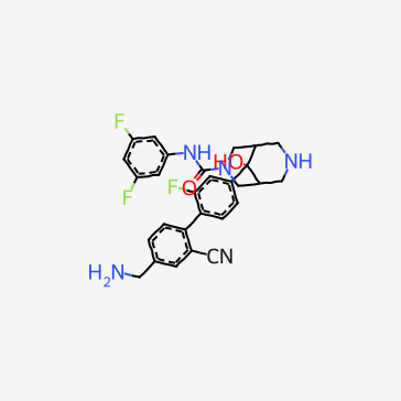 N#Cc1cc(CN)ccc1-c1ccc(C2(O)C3CNCC2CN(C(=O)Nc2cc(F)cc(F)c2)C3)cc1F